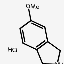 COc1ccc2c(c1)CNC2.Cl